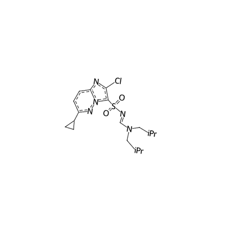 CC(C)CN(/C=N/S(=O)(=O)c1c(Cl)nc2ccc(C3CC3)nn12)CC(C)C